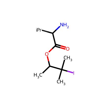 CC(C)C(N)C(=O)OC(C)C(C)(C)I